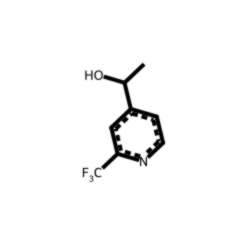 CC(O)c1ccnc(C(F)(F)F)c1